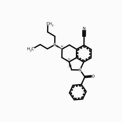 CCCN(CCC)[C@H]1Cc2c(C#N)ccc3c2[C@H](C1)CN3C(=O)c1ccccc1